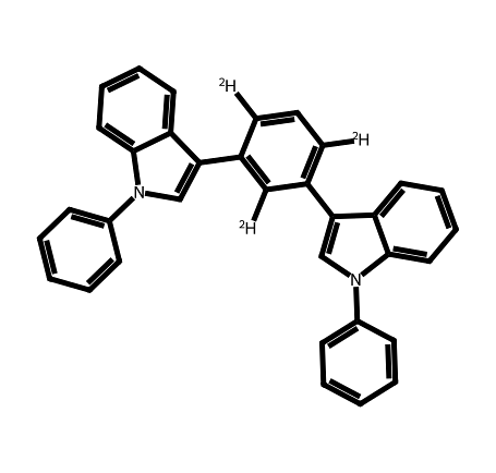 [2H]c1cc([2H])c(-c2cn(-c3ccccc3)c3ccccc23)c([2H])c1-c1cn(-c2ccccc2)c2ccccc12